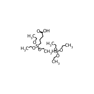 CCO[SiH](OCC)OCC.CCO[Si](CCCC(=O)O)(OCC)OCC